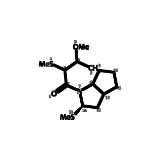 COC(C)C(SC)C(=O)N1C2CCCC2C[C@H]1SC